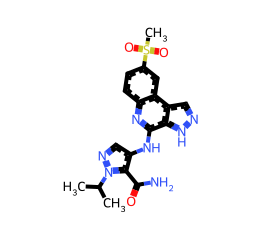 CC(C)n1ncc(Nc2nc3ccc(S(C)(=O)=O)cc3c3cn[nH]c23)c1C(N)=O